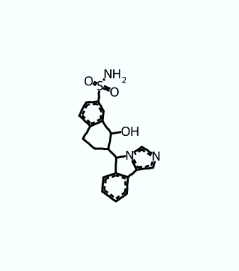 NS(=O)(=O)c1ccc2c(c1)C(O)C(C1c3ccccc3-c3cncn31)CC2